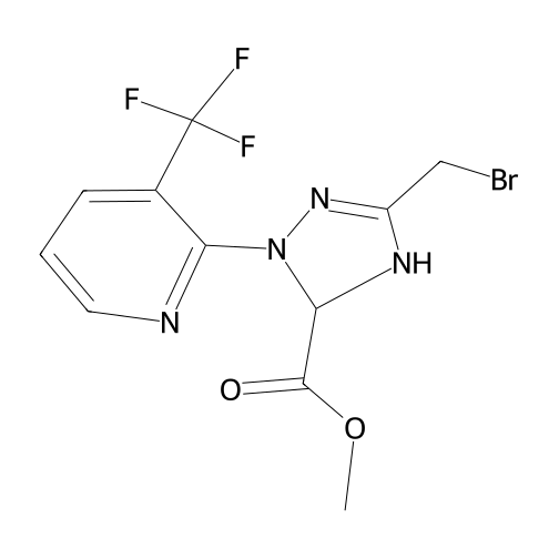 COC(=O)C1NC(CBr)=NN1c1ncccc1C(F)(F)F